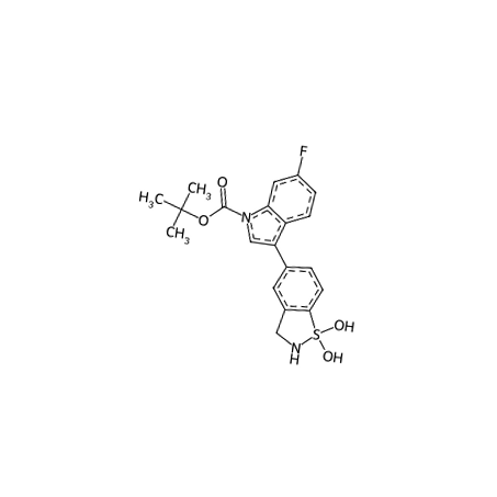 CC(C)(C)OC(=O)n1cc(-c2ccc3c(c2)CNS3(O)O)c2ccc(F)cc21